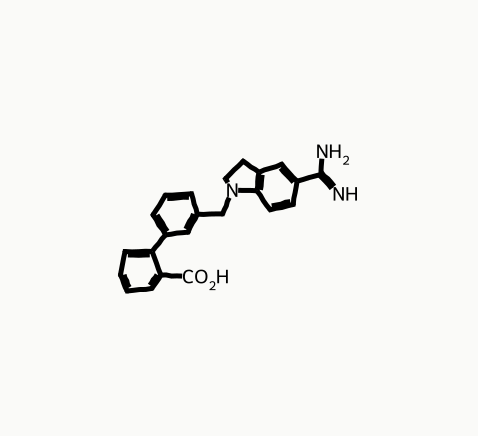 N=C(N)c1ccc2c(c1)CCN2Cc1cccc(-c2ccccc2C(=O)O)c1